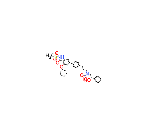 CS(=O)(=O)NC(=O)c1ccc(-c2ccc(CCCN(C[C@H](O)c3ccccc3)C(=O)O)cc2)cc1OC1CCCCC1